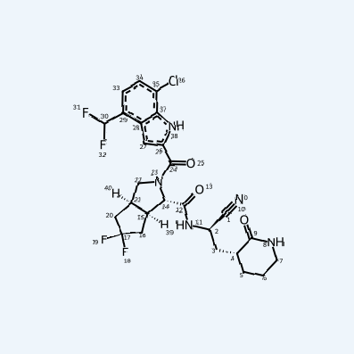 N#C[C@@H](C[C@H]1CCCNC1=O)NC(=O)[C@@H]1[C@H]2CC(F)(F)C[C@H]2CN1C(=O)c1cc2c(C(F)F)ccc(Cl)c2[nH]1